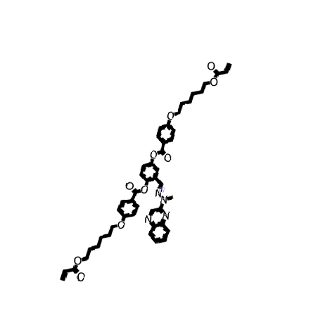 C=CC(=O)OCCCCCCOc1ccc(C(=O)Oc2ccc(OC(=O)c3ccc(OCCCCCCOC(=O)C=C)cc3)c(/C=N/N(C)c3cnc4ccccc4n3)c2)cc1